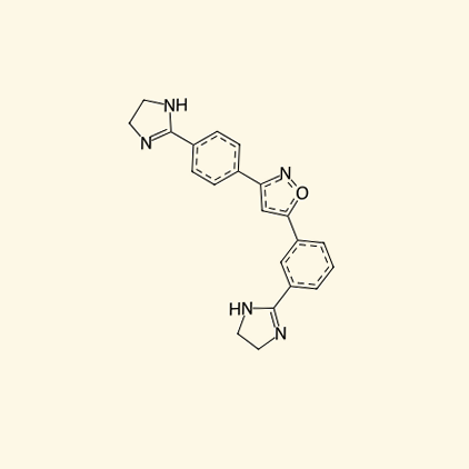 c1cc(C2=NCCN2)cc(-c2cc(-c3ccc(C4=NCCN4)cc3)no2)c1